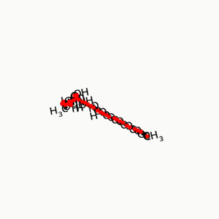 COCCOCCOCCOCCOCCOCCOCCOCCOCCOCCOCCOCCC(=O)NCCCCCC(=O)NCC(=O)NC(CC(=O)O)C(=O)NCN1C(=O)CCN(c2cc(I)ccc2OC)C1=O